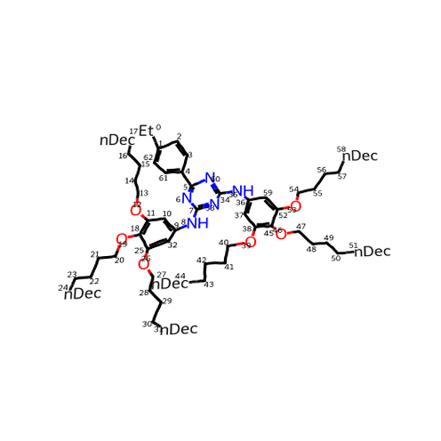 [CH2]Cc1ccc(-c2nc(Nc3cc(OCCCCCCCCCCCCCC)c(OCCCCCCCCCCCCCC)c(OCCCCCCCCCCCCCC)c3)nc(Nc3cc(OCCCCCCCCCCCCCC)c(OCCCCCCCCCCCCCC)c(OCCCCCCCCCCCCCC)c3)n2)cc1